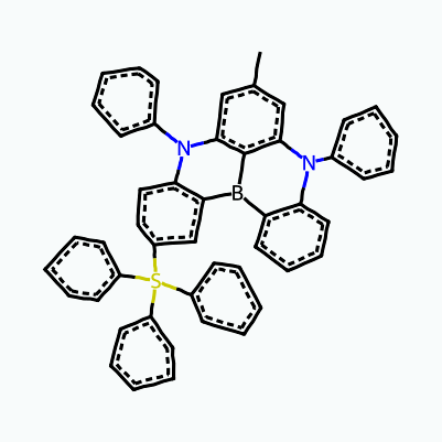 Cc1cc2c3c(c1)N(c1ccccc1)c1ccc(S(c4ccccc4)(c4ccccc4)c4ccccc4)cc1B3c1ccccc1N2c1ccccc1